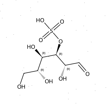 O=C[C@H](O)[C@H](OS(=O)(=O)O)[C@H](O)[C@H](O)CO